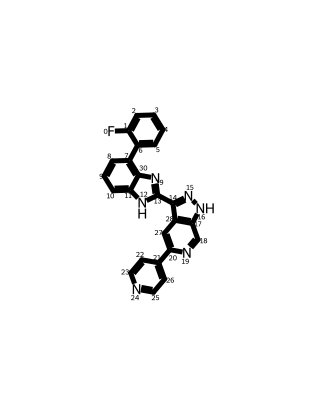 Fc1ccccc1-c1cccc2[nH]c(-c3n[nH]c4cnc(-c5ccncc5)cc34)nc12